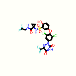 O=C(NCC(F)F)C1(NS(=O)(=O)c2cc(Oc3c(Cl)cc(-n4nc(C(F)F)c(=O)[nH]c4=O)cc3Cl)ccc2O)CC1